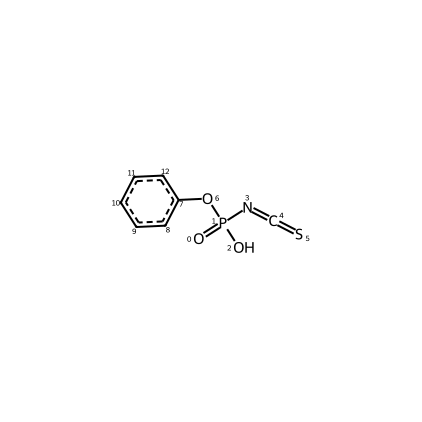 O=P(O)(N=C=S)Oc1ccccc1